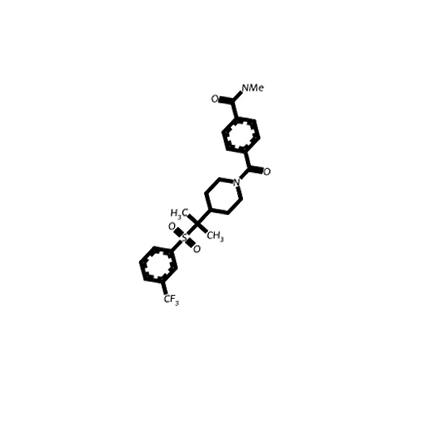 CNC(=O)c1ccc(C(=O)N2CCC(C(C)(C)S(=O)(=O)c3cccc(C(F)(F)F)c3)CC2)cc1